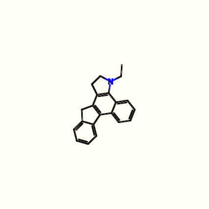 CCN1CCc2c3c(c4ccccc4c21)-c1ccccc1C3